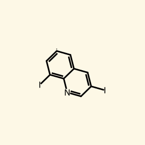 Ic1cnc2c(I)c[c]cc2c1